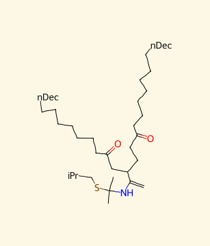 C=C(NC(C)(C)SCC(C)C)C(CCC(=O)CCCCCCCCCCCCCCCCC)CC(=O)CCCCCCCCCCCCCCCCC